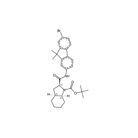 CC(C)(C)OC(=O)N1[C@H](C(=O)Nc2ccc3c(c2)C(C)(C)c2cc(Br)ccc2-3)C[C@@H]2CCCC[C@@H]21